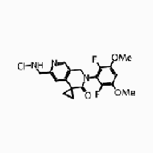 COc1cc(OC)c(F)c(N2Cc3cnc(CNCl)cc3C3(CC3)C2=O)c1F